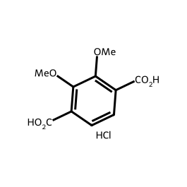 COc1c(C(=O)O)ccc(C(=O)O)c1OC.Cl